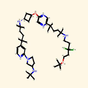 CC(C)(C)NC1CCN(c2cc(C(C)(C)CCC(C)(C)N[C@H]3C[C@H](Oc4cnc(C(C)(C)CCC(C)(C)NCCC(F)(F)CCOC(C)(C)C)cn4)C3)ccn2)C1